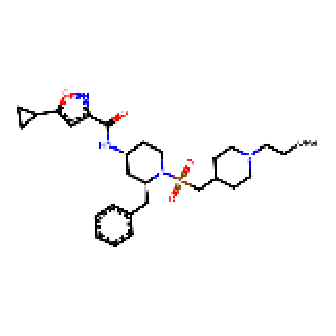 COCCN1CCC(CS(=O)(=O)N2CC[C@H](NC(=O)c3cc(C4CC4)on3)C[C@@H]2Cc2ccccc2)CC1